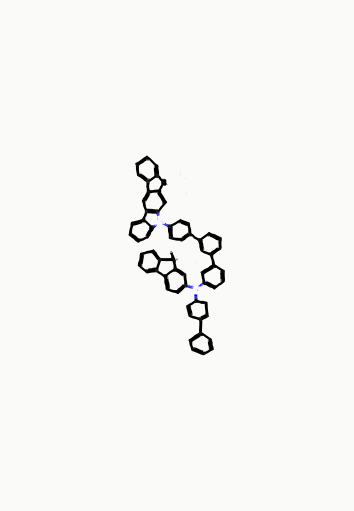 CC1(C)c2ccccc2-c2ccc(N(c3cccc(-c4cccc(-c5ccc(-n6c7ccccc7c7cc8c(cc76)C(C)(C)c6ccccc6-8)cc5)c4)c3)C3C=CC(c4ccccc4)=CC3)cc21